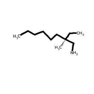 CCCCCC[C@@](C)(CC)CN